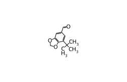 CC(C)(C)c1cc(C=O)cc2c1OCO2